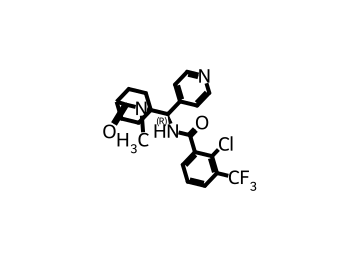 CN1C(=O)C2CCC1([C@H](NC(=O)c1cccc(C(F)(F)F)c1Cl)c1ccncc1)CC2